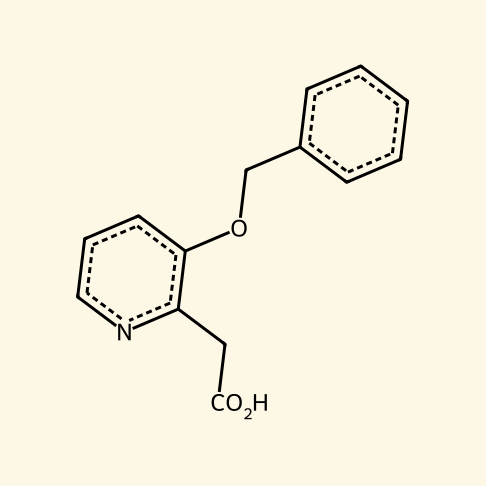 O=C(O)Cc1ncccc1OCc1ccccc1